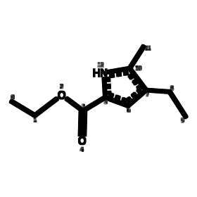 CCOC(=O)c1cc(CC)c(C)[nH]1